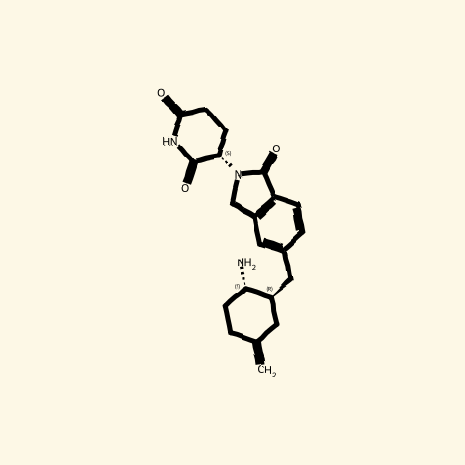 C=C1CC[C@H](N)[C@@H](Cc2ccc3c(c2)CN([C@H]2CCC(=O)NC2=O)C3=O)C1